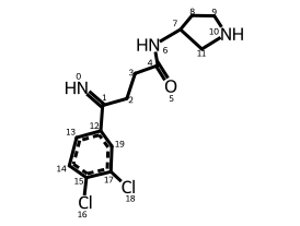 N=C(CCC(=O)NC1CCNC1)c1ccc(Cl)c(Cl)c1